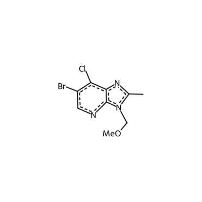 COCn1c(C)nc2c(Cl)c(Br)cnc21